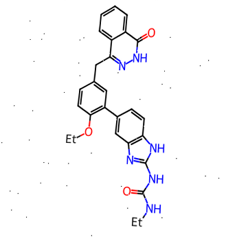 CCNC(=O)Nc1nc2cc(-c3cc(Cc4n[nH]c(=O)c5ccccc45)ccc3OCC)ccc2[nH]1